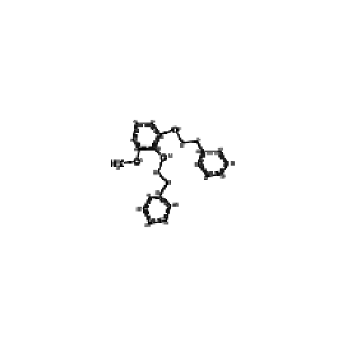 COc1cccc(OCCc2ccccc2)c1OCCc1ccccc1